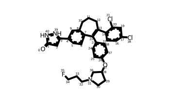 O=c1cc(-c2ccc3c(c2)CCCC(c2ccc(Cl)cc2Cl)=C3c2ccc(OC3CCN(CCCF)C3)cc2)[nH][nH]1